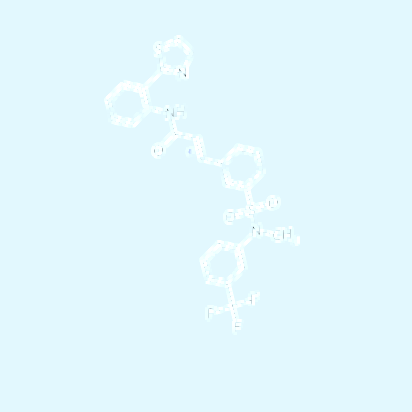 CN(c1cccc(C(F)(F)F)c1)S(=O)(=O)c1cccc(/C=C/C(=O)Nc2ccccc2-c2nccs2)c1